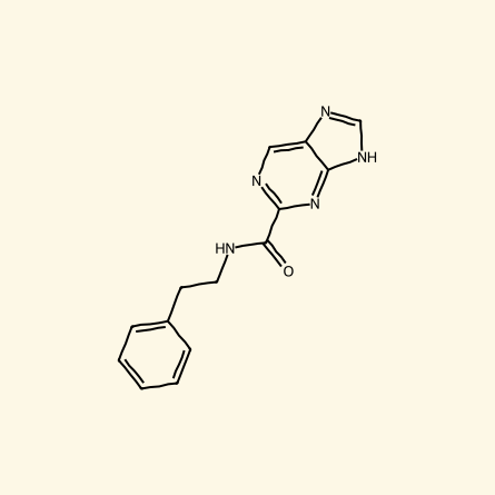 O=C(NCCc1ccccc1)c1ncc2nc[nH]c2n1